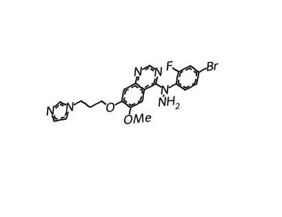 COc1cc2c(N(N)c3ccc(Br)cc3F)ncnc2cc1OCCCn1ccnc1